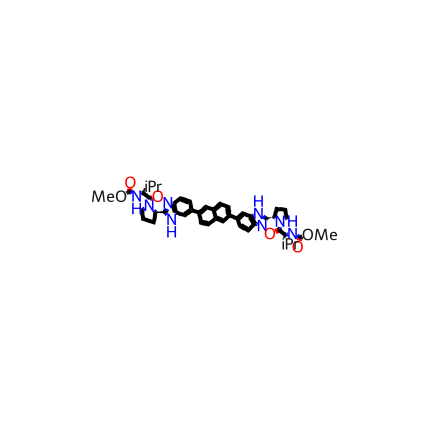 COC(=O)N[C@H](C(=O)N1CCC[C@@H]1c1nc2ccc(-c3ccc4cc(-c5ccc6nc([C@@H]7CCCN7C(=O)[C@@H](NC(=O)OC)C(C)C)[nH]c6c5)ccc4c3)cc2[nH]1)C(C)C